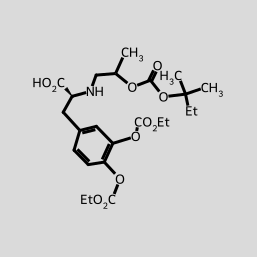 CCOC(=O)Oc1ccc(C[C@H](NCC(C)OC(=O)OC(C)(C)CC)C(=O)O)cc1OC(=O)OCC